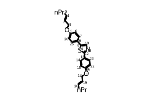 CCC/C=C/COc1ccc(-c2cnc(-c3ccc(OC/C=C/CCC)cc3)s2)cc1